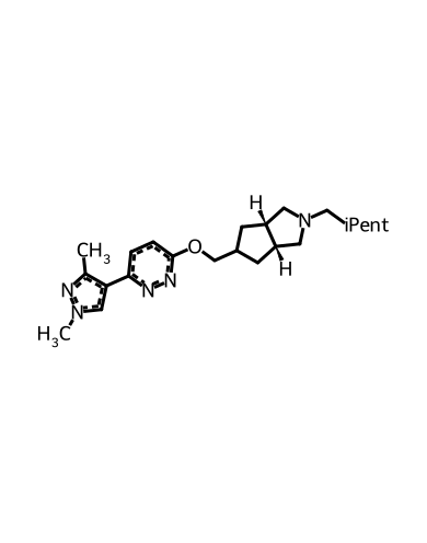 CCCC(C)CN1C[C@H]2CC(COc3ccc(-c4cn(C)nc4C)nn3)C[C@H]2C1